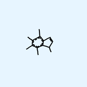 Cc1c(C)c(C)c2c(c1C)C=CC2C